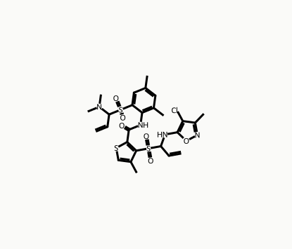 C=CC(Nc1onc(C)c1Cl)S(=O)(=O)c1c(C)csc1C(=O)Nc1c(C)cc(C)cc1S(=O)(=O)C(C=C)N(C)C